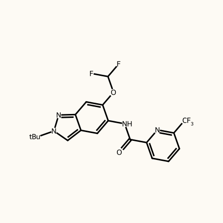 CC(C)(C)n1cc2cc(NC(=O)c3cccc(C(F)(F)F)n3)c(OC(F)F)cc2n1